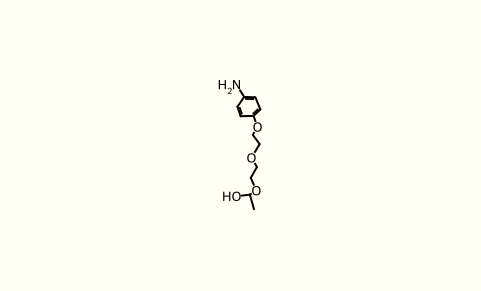 CC(O)OCCOCCOc1ccc(N)cc1